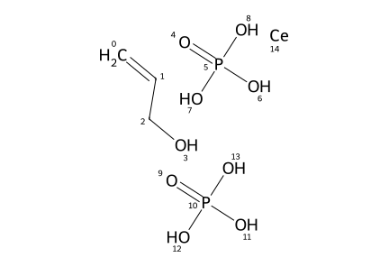 C=CCO.O=P(O)(O)O.O=P(O)(O)O.[Ce]